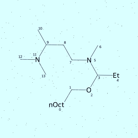 CCCCCCCCCOC(CC)N(C)CCC(C)N(C)C